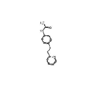 CC(=O)Nc1ccc(CCc2ccccn2)cc1